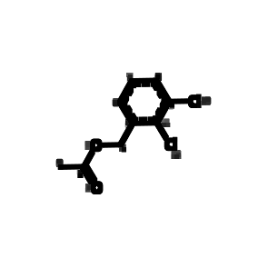 CC(=O)OCc1cccc(Cl)c1Cl